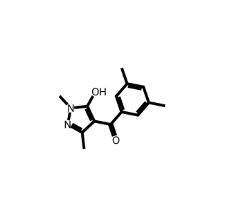 Cc1cc(C)cc(C(=O)c2c(C)nn(C)c2O)c1